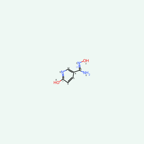 N/C(=N\O)c1ccc(O)nc1